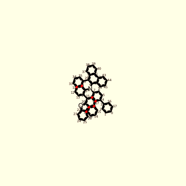 c1ccc(-c2ccc(N(c3ccccc3-c3cccc4c3oc3ccccc34)c3c(-c4ccccc4)c4ccccc4c4ccccc34)cc2-c2ccccc2)cc1